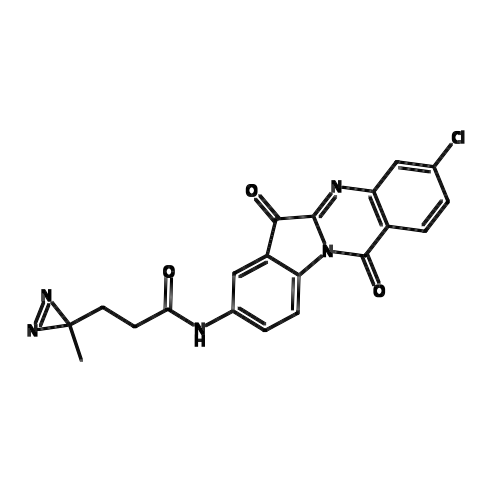 CC1(CCC(=O)Nc2ccc3c(c2)C(=O)c2nc4cc(Cl)ccc4c(=O)n2-3)N=N1